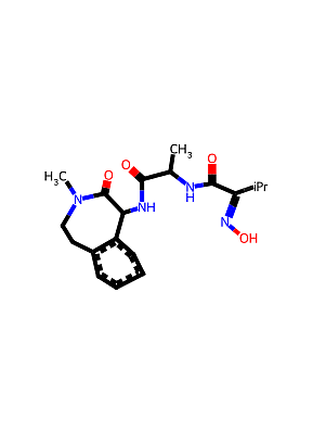 CC(C)C(=NO)C(=O)NC(C)C(=O)NC1C(=O)N(C)CCc2ccccc21